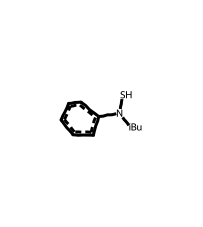 CCC(C)N(S)c1ccccc1